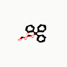 O=[C]OC(=O)OC(c1ccccc1)(c1ccccc1)c1ccccc1